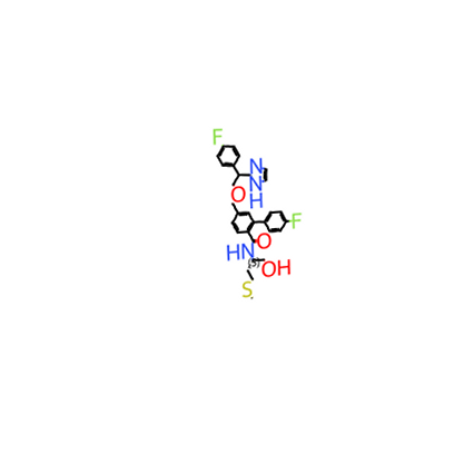 CSCC[C@@H](CO)NC(=O)c1ccc(COCC(c2ccc(F)cc2)c2ncc[nH]2)cc1-c1ccc(F)cc1